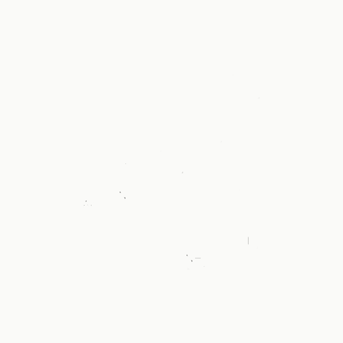 CC(=O)N1CCc2c(-c3ccccc3)cc(I)c(N)c2C1